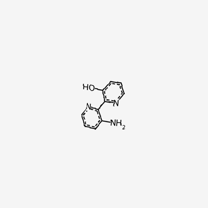 Nc1cccnc1-c1ncccc1O